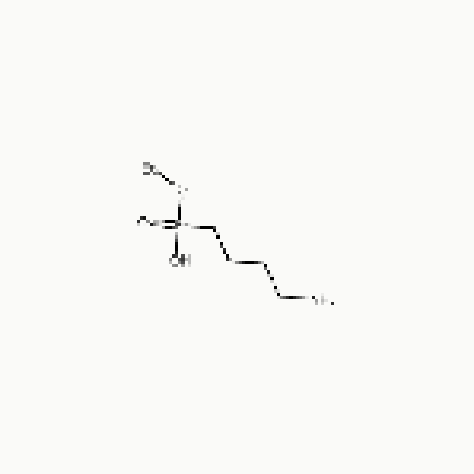 CCOP(=O)(O)CCCCN